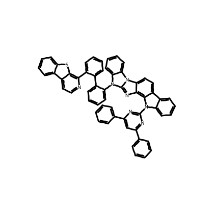 c1ccc(-c2cc(-c3ccccc3)nc(-n3c4ccccc4c4ccc5c(nc6n(-c7ccccc7-c7ccccc7-c7nccc8c7sc7ccccc78)c7ccccc7n56)c43)n2)cc1